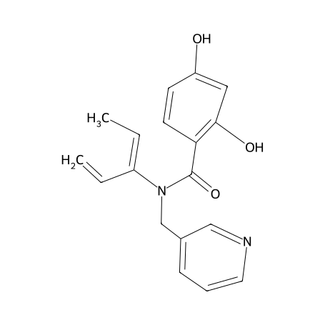 C=C/C(=C\C)N(Cc1cccnc1)C(=O)c1ccc(O)cc1O